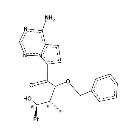 CC[C@@H](O)[C@@H](C)C(OCc1ccccc1)C(=O)c1ccc2c(N)ncnn12